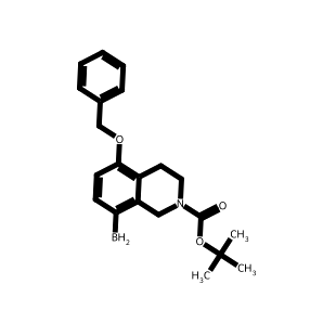 Bc1ccc(OCc2ccccc2)c2c1CN(C(=O)OC(C)(C)C)CC2